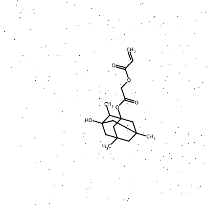 C=CC(=O)OCC(=O)OC12CC3(C)CC(C)(CC(O)(C3)C1C)C2